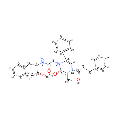 CC(C)C1C(=O)N(CC(=O)NC(Cc2ccccc2)C(=O)C(F)(F)F)C(c2ccccc2)=CN1C(=O)CCc1ccccc1